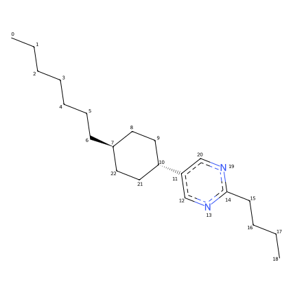 CCCCCCC[C@H]1CC[C@H](c2cnc(CCCC)nc2)CC1